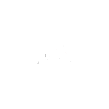 CCC[SiH2]O[Si](OCC)(OCC)OCC